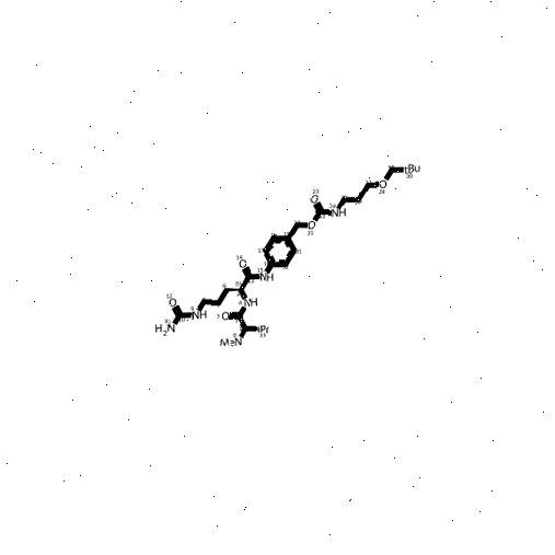 CNC(C(=O)N[C@@H](CCCNC(N)=O)C(=O)Nc1ccc(COC(=O)NCCCOCC(C)(C)C)cc1)C(C)C